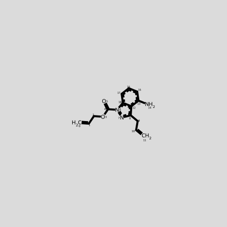 C=CCOC(=O)n1nc(CC=C)c2c(N)cccc21